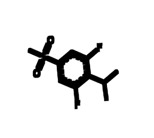 CC(C)c1c(F)cc(S(C)(=O)=O)cc1F